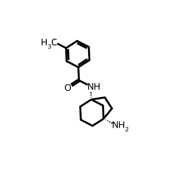 Cc1cccc(C(=O)N[C@]23CCC[C@](N)(CC2)C3)c1